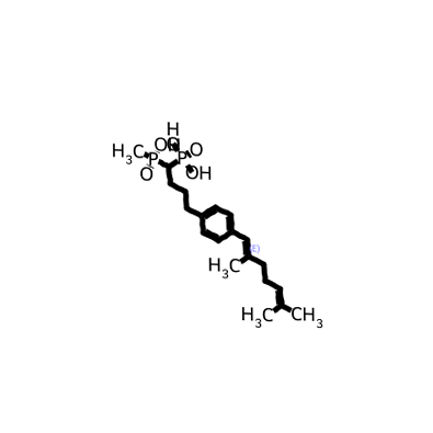 CC(C)=CCC/C(C)=C/c1ccc(CCCC(P(C)(=O)O)P(=O)(O)O)cc1